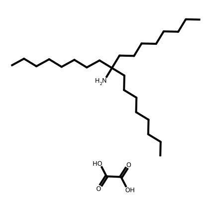 CCCCCCCCC(N)(CCCCCCCC)CCCCCCCC.O=C(O)C(=O)O